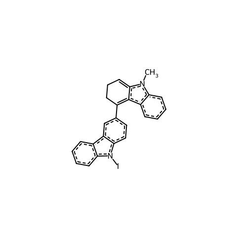 Cn1c2c(c3ccccc31)=C(c1ccc3c(c1)c1ccccc1n3I)CCC=2